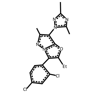 CCc1oc2c(-n3nc(C)nc3C)c(C)nn2c1-c1ccc(Cl)cc1Cl